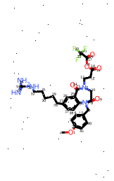 COc1ccc(CN2C(=O)CN(CCC(=O)OC(=O)C(F)(F)F)C(=O)c3cc(CCCCCNC(=N)N)ccc32)cc1